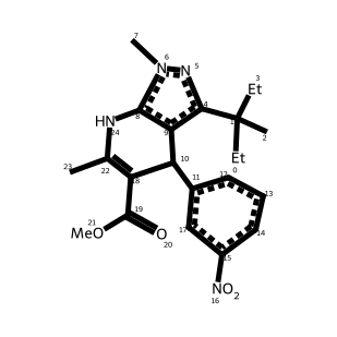 CCC(C)(CC)c1nn(C)c2c1C(c1cccc([N+](=O)[O-])c1)C(C(=O)OC)=C(C)N2